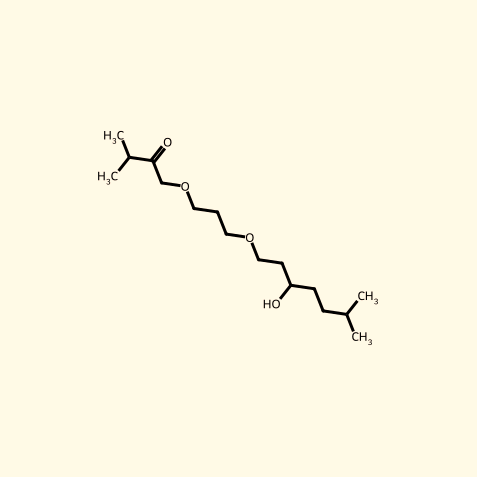 CC(C)CCC(O)CCOCCCOCC(=O)C(C)C